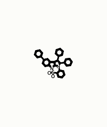 O=S1(=O)c2ccccc2-n2c(-c3ccccc3)c(-c3ccccc3)c3c4cc(-c5ccccc5)ccc4n1c32